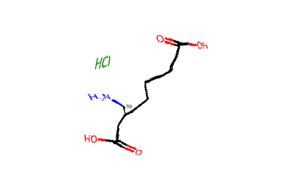 Cl.N[C@@H](CCCC(=O)O)C(=O)O